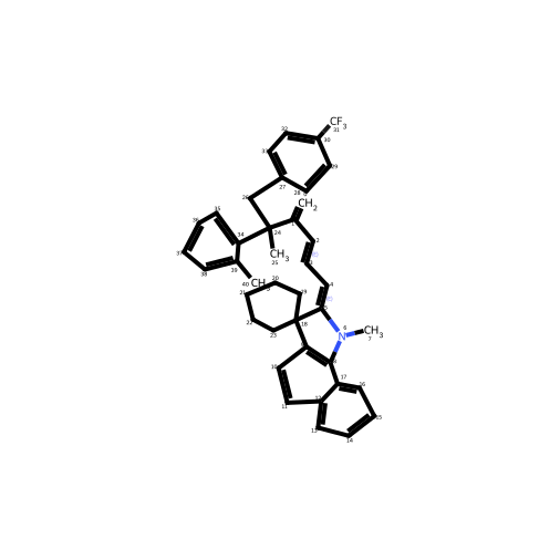 C=C(/C=C/C=C1/N(C)c2c(ccc3ccccc23)C12CCCCC2)C(C)(Cc1ccc(C(F)(F)F)cc1)c1ccccc1C